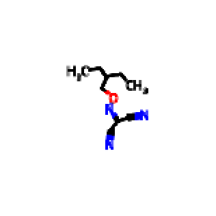 CCC(CC)CON=C(C#N)C#N